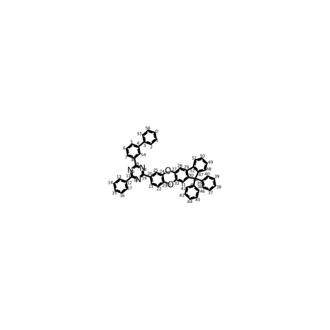 c1ccc(-c2cccc(-c3nc(-c4ccccc4)nc(-c4ccc5c(c4)Oc4cc6c(cc4O5)C(c4ccccc4)(c4ccccc4)c4ccccc4-6)n3)c2)cc1